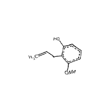 C=CCc1c(O)cccc1OC